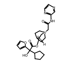 O=C(C[N+]12CCC(CC1)[C@@H](OC(=O)C(O)(c1ccco1)C1CCCC1)C2)Nc1cnccn1